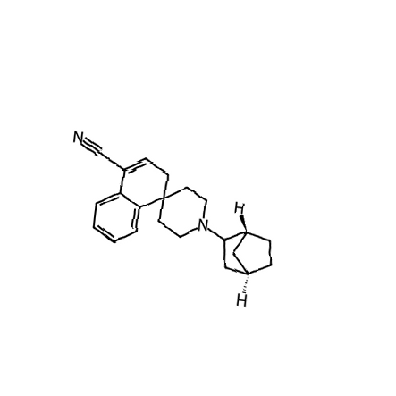 N#CC1=CCC2(CCN(C3C[C@@H]4CC[C@@H]3C4)CC2)c2ccccc21